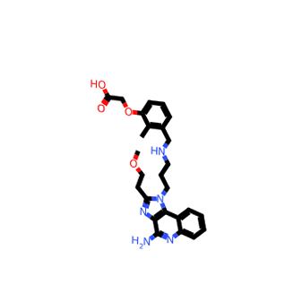 COCCc1nc2c(N)nc3ccccc3c2n1CCCNCc1cccc(OCC(=O)O)c1C